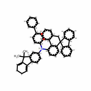 CC1(C)C2=CCCC=C2c2ccc(N(c3ccc(-c4ccccc4)cc3)c3cccc4c3-c3ccccc3CC43c4ccccc4-c4ccccc43)cc21